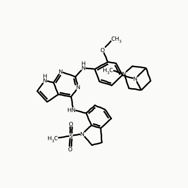 COc1cc(N2C3CC2CN(C)C3)ccc1Nc1nc(Nc2cccc3c2N(S(C)(=O)=O)CC3)c2cc[nH]c2n1